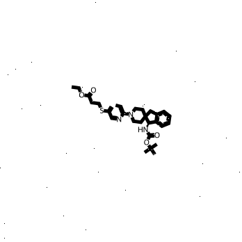 C=C(/C=N\C(=C/C)N1CCC2(CC1)Cc1ccccc1[C@H]2NC(=O)OC(C)(C)C)SCCC(=O)OCC